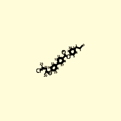 CCCc1ccc(OC(=O)c2ccc(-c3ccc(O[C@@H](C)C[C@H](C)Cl)cc3)cc2)cc1